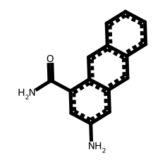 NC(=O)c1cc(N)cc2cc3ccccc3cc12